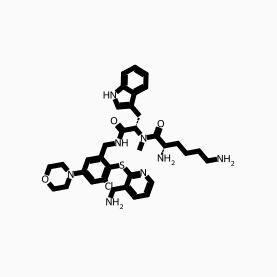 CN(C(=O)[C@@H](N)CCCCN)[C@@H](Cc1c[nH]c2ccccc12)C(=O)NCc1cc(N2CCOCC2)cc(Cl)c1Sc1ncccc1CN